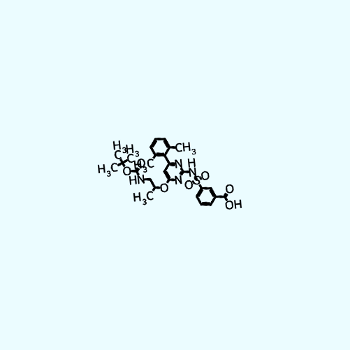 Cc1cccc(C)c1-c1cc(OC(C)CNC(=O)OC(C)(C)C)nc(NS(=O)(=O)c2cccc(C(=O)O)c2)n1